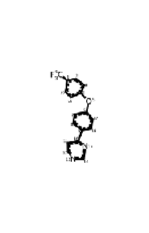 FC(F)(F)c1ccc(Oc2ccc(-c3ccncn3)cc2)cc1